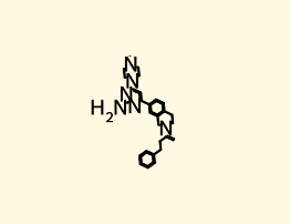 C=C(CCc1ccccc1)N1CCc2ccc(-c3cc(N4CCN(C)CC4)nc(N)n3)cc2C1